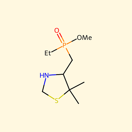 CCP(=O)(CC1NCSC1(C)C)OC